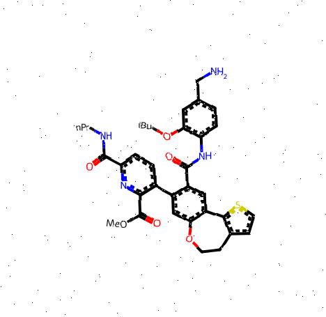 CCCNC(=O)c1ccc(-c2cc3c(cc2C(=O)Nc2ccc(CN)cc2OC(C)CC)-c2sccc2CCO3)c(C(=O)OC)n1